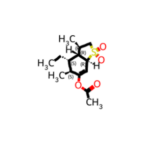 CC[C@@H]1[C@@H]2[C@@H](C)CS(=O)(=O)[C@H]2C=C(OC(C)=O)[C@H]1C